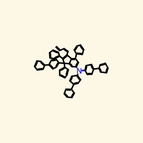 C=C/C=C\C1=C(c2ccccc2)C(c2ccccc2)(c2ccc(-c3ccccc3)cc2)c2cc(N(c3ccc(-c4ccccc4)cc3)c3ccc(-c4ccccc4)cc3)cc(-c3ccccc3)c21